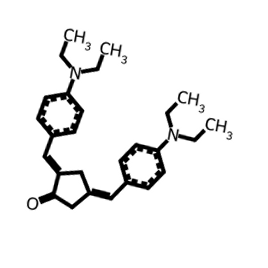 CCN(CC)c1ccc(C=C2CC(=O)C(=Cc3ccc(N(CC)CC)cc3)C2)cc1